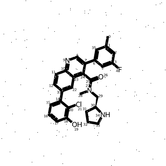 Cc1cc(F)cc(-c2cnc3ccc(-c4cccc(O)c4Cl)cc3c2C(=O)N(C)C[C@@H]2CCCN2)c1